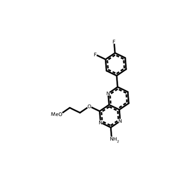 COCCOc1nc(N)nc2ccc(-c3ccc(F)c(F)c3)nc12